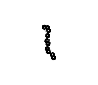 c1ccc2cc(-c3ccc4ccc(-c5ccc6nc(-c7ccc(-c8ccc9ccc%10cccnc%10c9n8)cc7)ccc6c5)cc4n3)ncc2c1